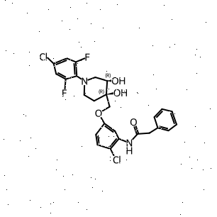 O=C(Cc1ccccc1)Nc1cc(OC[C@]2(O)CCN(c3c(F)cc(Cl)cc3F)C[C@H]2O)ccc1Cl